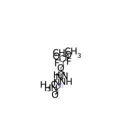 CN/C(=C\C(=N)C=O)Nc1ncc(OCc2c(F)c(OC)cc(OC)c2F)cn1